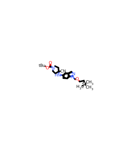 CC(C)(C)OC(=O)N1CCC(C#N)(Nc2ccc3c(cnn3COCC[Si](C)(C)C)c2)CC1